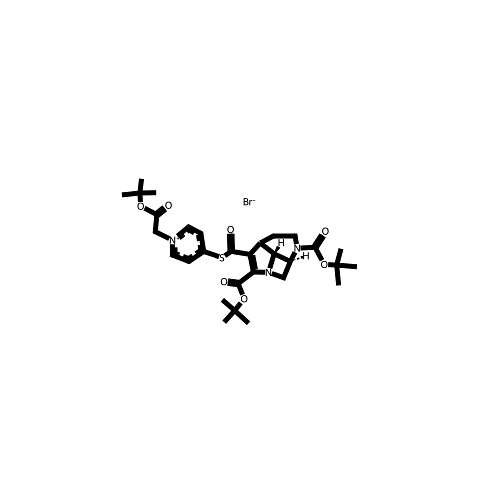 CC(C)(C)OC(=O)C[n+]1ccc(SC(=O)C2=C(C(=O)OC(C)(C)C)N3C[C@H]4[C@H]3C2CCN4C(=O)OC(C)(C)C)cc1.[Br-]